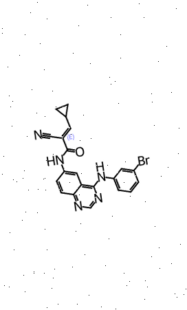 N#C/C(=C\C1CC1)C(=O)Nc1ccc2ncnc(Nc3cccc(Br)c3)c2c1